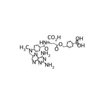 CN(Cc1cnc2nc(N)nc(N)c2n1)c1ccc(C(=O)N[C@@H](CCC(=O)OCc2ccc(B(O)O)cc2)C(=O)O)cc1